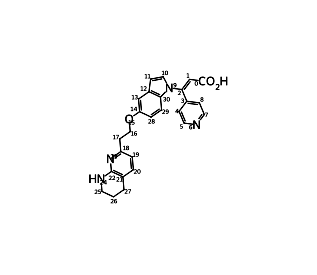 O=C(O)C=C(c1ccncc1)n1ccc2cc(OCCc3ccc4c(n3)NCCC4)ccc21